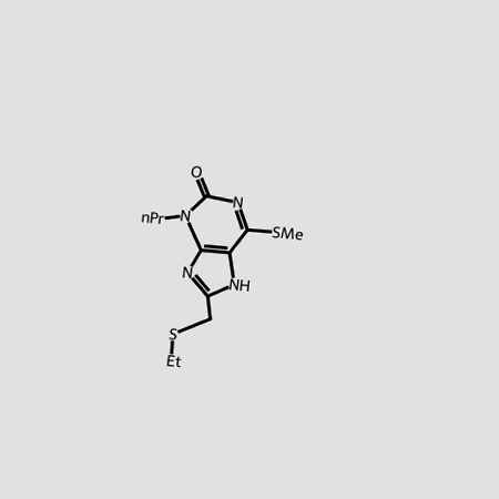 CCCn1c(=O)nc(SC)c2[nH]c(CSCC)nc21